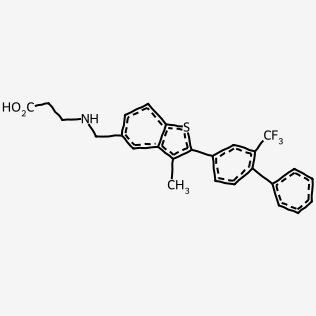 Cc1c(-c2ccc(-c3ccccc3)c(C(F)(F)F)c2)sc2ccc(CNCCC(=O)O)cc12